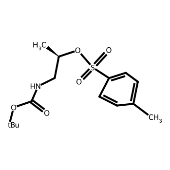 Cc1ccc(S(=O)(=O)O[C@H](C)CNC(=O)OC(C)(C)C)cc1